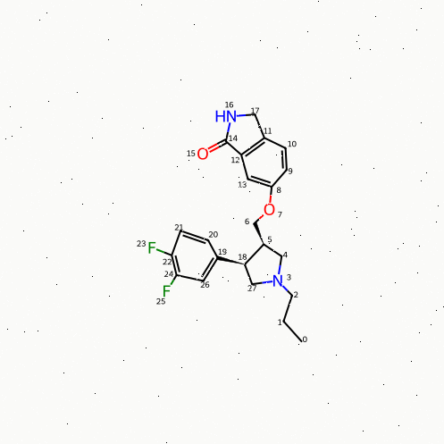 CCCN1C[C@H](COc2ccc3c(c2)C(=O)NC3)[C@H](c2ccc(F)c(F)c2)C1